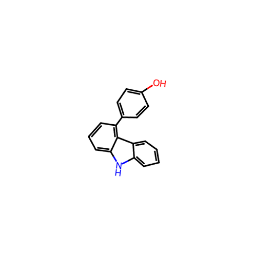 Oc1ccc(-c2cccc3[nH]c4ccccc4c23)cc1